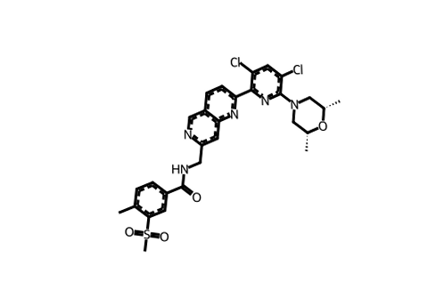 Cc1ccc(C(=O)NCc2cc3nc(-c4nc(N5C[C@@H](C)O[C@@H](C)C5)c(Cl)cc4Cl)ccc3cn2)cc1S(C)(=O)=O